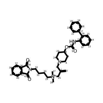 C=C(CN1CCC(OC(=O)Nc2ccccc2-c2ccccc2)CC1)C[N+](C)(C)CCCCN1C(=O)c2ccccc2C1=O